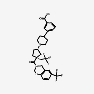 O=C(O)c1cccc(C2CCN([C@@H]3CC[C@](CC(F)(F)F)(C(=O)N4COc5ccc(C(F)(F)F)cc5C4)C3)CC2)c1